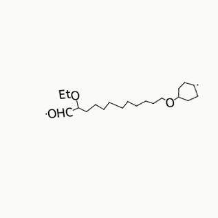 CCOC([C]=O)CCCCCCCCCCOC1CC[CH]CC1